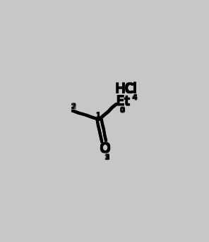 CCC(C)=O.Cl